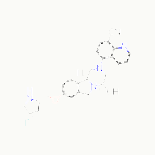 C[C@@H]1CN(c2ccc(C#N)c3ncccc23)C[C@@H]2c3ccc(OC[C@@H]4C[C@H](F)CN4)cc3CN12